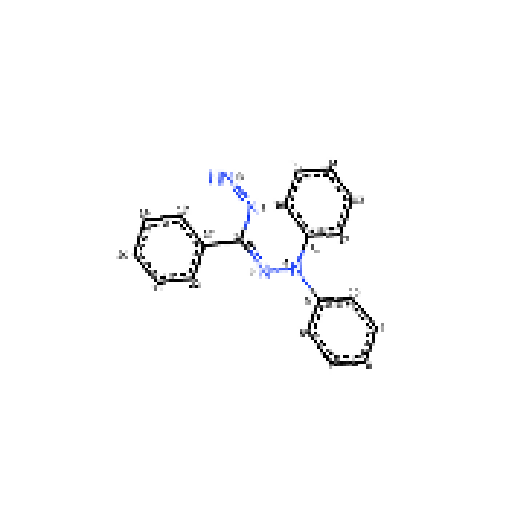 N=NC(=NN(c1ccccc1)c1ccccc1)c1ccccc1